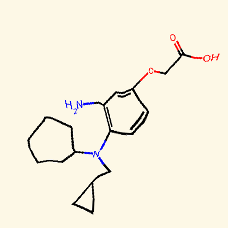 Nc1cc(OCC(=O)O)ccc1N(CC1CC1)C1CCCCC1